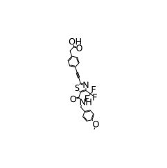 COc1ccc(CNC(=O)c2sc(C#Cc3ccc(CC(=O)O)cc3)nc2C(F)(F)F)cc1